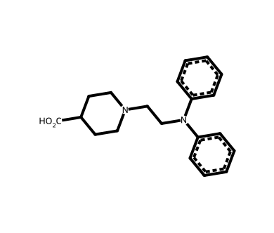 O=C(O)C1CCN(CCN(c2ccccc2)c2ccccc2)CC1